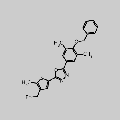 Cc1cc(-c2nnc(-c3cc(CC(C)C)c(C)s3)o2)cc(C)c1OCc1ccccc1